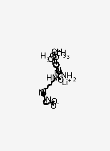 CC(C)(C)OC(=O)N1CCC(n2cc(N)c(C(=O)NCCCCCCn3cc(-c4cccc(C(=O)[O-])n4)cn3)n2)CC1.[Li+]